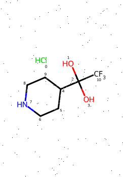 Cl.OC(O)(C1CCNCC1)C(F)(F)F